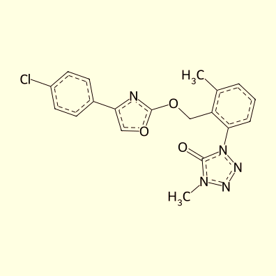 Cc1cccc(-n2nnn(C)c2=O)c1COc1nc(-c2ccc(Cl)cc2)co1